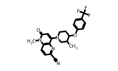 CC1CN(c2cc(=O)n(C)c3ccc(C#N)nc23)CCC1Oc1ccc(C(F)(F)F)cc1